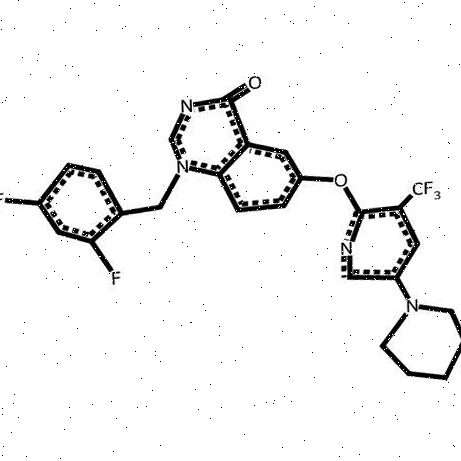 O=c1ncn(Cc2ccc(F)cc2F)c2ccc(Oc3ncc(N4CCCCC4)cc3C(F)(F)F)cc12